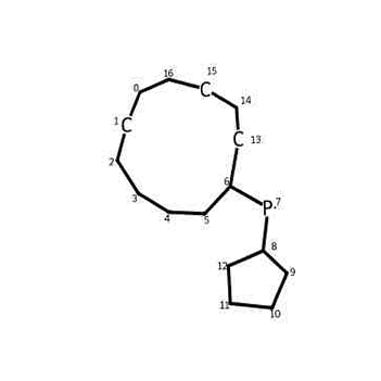 C1CCCCCC([P]C2CCCC2)CCCC1